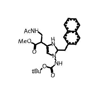 COC(=O)C(CNC(C)=O)C1=CN(NC(=O)OC(C)(C)C)C(Cc2ccc3ccccc3c2)N1